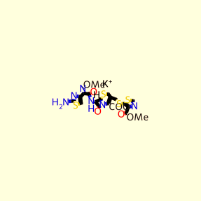 CO/N=C(\C(=O)NC1C(=O)N2C(C(=O)[O-])=C(CSc3scnc3C(=O)OC)CS[C@@H]12)c1csc(N)n1.[K+]